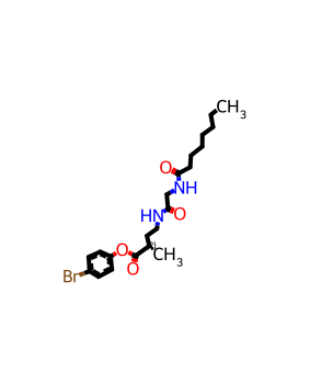 CCCCCCCC(=O)NCC(=O)NCC[C@@H](C)C(=O)Oc1ccc(Br)cc1